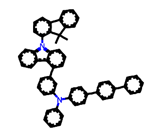 CC1(C)c2ccccc2-c2cccc(-n3c4ccccc4c4c(-c5cccc(N(c6ccccc6)c6ccc(-c7ccc(-c8ccccc8)cc7)cc6)c5)cccc43)c21